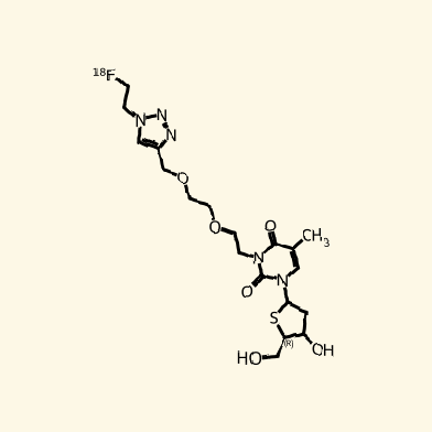 Cc1cn(C2CC(O)[C@@H](CO)S2)c(=O)n(CCOCCOCc2cn(CC[18F])nn2)c1=O